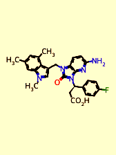 Cc1cc(C)c2c(Cn3c(=O)n([C@H](CC(=O)O)c4ccc(F)cc4)c4nc(N)ccc43)cn(C)c2c1